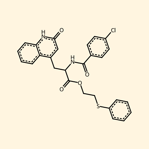 O=C(NC(Cc1cc(=O)[nH]c2ccccc12)C(=O)OCCSc1ccccc1)c1ccc(Cl)cc1